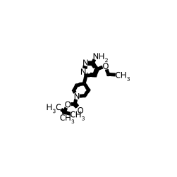 CCOc1cc(C2CCN(C(=O)OC(C)(C)C)CC2)nnc1N